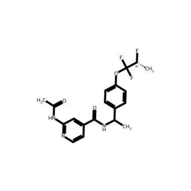 CC(=O)Nc1cc(C(=O)NC(C)c2ccc(OC(F)(F)[C@@H](C)F)cc2)ccn1